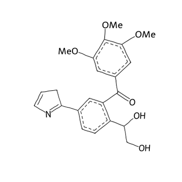 COc1cc(C(=O)c2cc(C3=NC=CC3)ccc2C(O)CO)cc(OC)c1OC